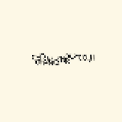 O=C(O)CC1CCC(OC(=O)N2CCc3cc(NC(=O)Nc4cccc(Cl)c4Cl)ccc3C2)CC1